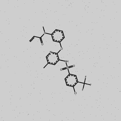 C=CC(=O)N(C)c1cccc(Oc2ncc(C)cc2NS(=O)(=O)c2ccc(Cl)c(C(F)(F)F)c2)c1